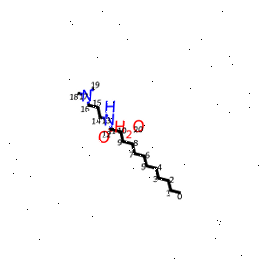 CCCCCCCCCCCC(=O)NCCCN(C)C.O